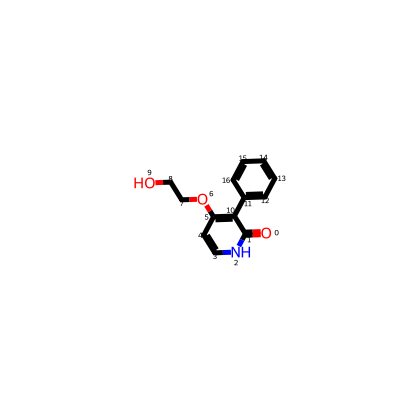 O=c1[nH]ccc(OCCO)c1-c1ccccc1